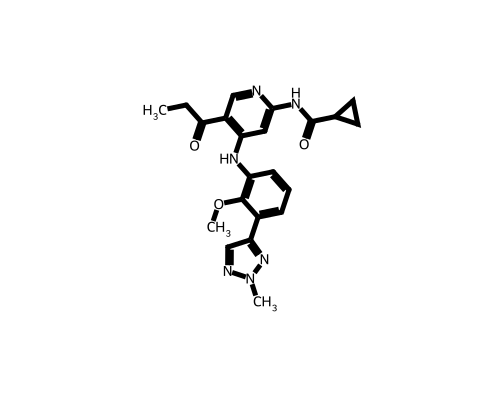 CCC(=O)c1cnc(NC(=O)C2CC2)cc1Nc1cccc(-c2cnn(C)n2)c1OC